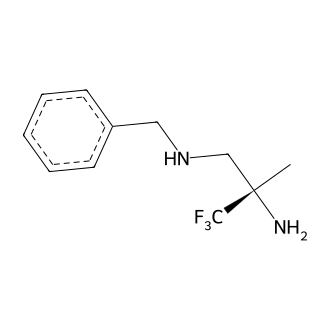 C[C@](N)(CNCc1ccccc1)C(F)(F)F